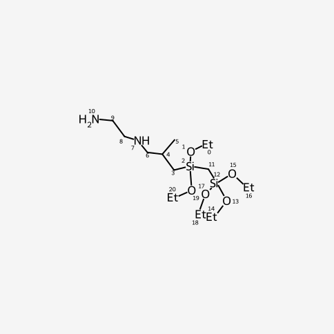 CCO[Si](CC(C)CNCCN)(C[Si](OCC)(OCC)OCC)OCC